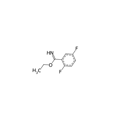 CCOC(=N)c1cc(F)ccc1F